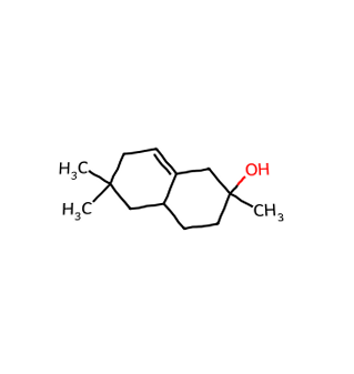 CC1(C)CC=C2CC(C)(O)CCC2C1